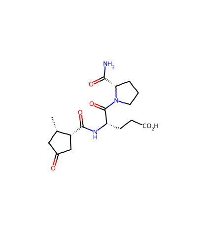 C[C@H]1CC(=O)C[C@H]1C(=O)N[C@@H](CCC(=O)O)C(=O)N1CCC[C@H]1C(N)=O